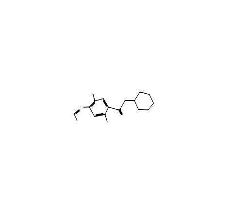 Cc1cc(C(=S)CC2CCCCC2)c(C)cc1/N=C\S